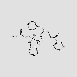 NC(=O)CC[C@@](NC(=O)C(CSC(=O)c1cccnc1)Cc1ccccc1)(Nc1ccccc1)C(=O)O